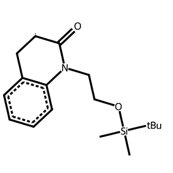 CC(C)(C)[Si](C)(C)OCCN1C(=O)[CH]Cc2ccccc21